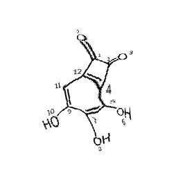 O=c1c(=O)c2c(O)c(O)c(O)cc12